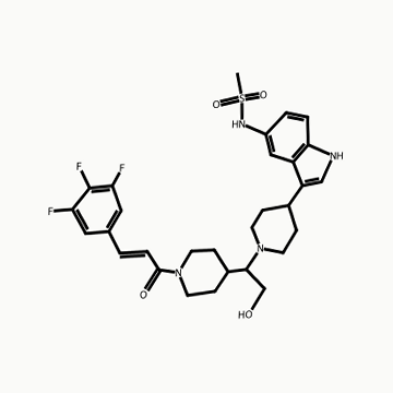 CS(=O)(=O)Nc1ccc2[nH]cc(C3CCN(C(CO)C4CCN(C(=O)C=Cc5cc(F)c(F)c(F)c5)CC4)CC3)c2c1